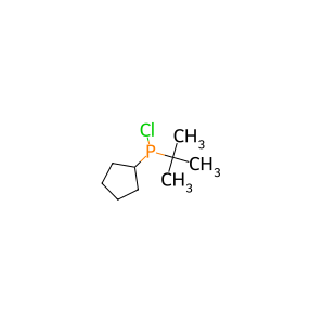 CC(C)(C)P(Cl)C1CCCC1